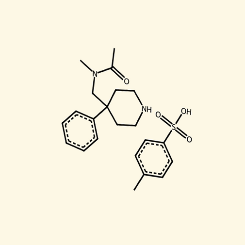 CC(=O)N(C)CC1(c2ccccc2)CCNCC1.Cc1ccc(S(=O)(=O)O)cc1